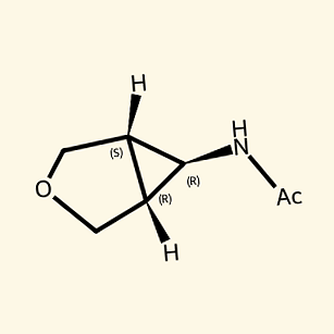 CC(=O)N[C@H]1[C@@H]2COC[C@@H]21